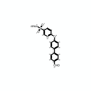 CCCCCCS(=O)(=O)c1ccc(Oc2ccc(-c3ccc(C=O)cc3)cc2)nc1